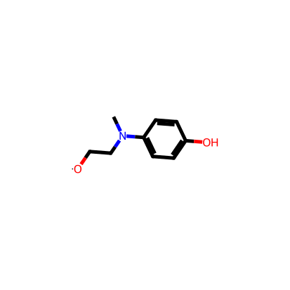 CN(CC[O])c1ccc(O)cc1